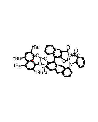 COC(=O)c1cc2ccccc2c(-c2c(OP(Oc3ccc(C(C)(C)C)cc3C(C)(C)C)Oc3ccc(C(C)(C)C)cc3C(C)(C)C)c(C)cc3ccccc23)c1OP1OC(=O)c2ccccc2N1c1ccccc1